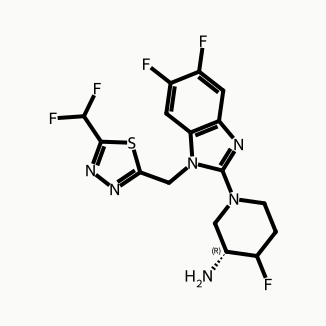 N[C@@H]1CN(c2nc3cc(F)c(F)cc3n2Cc2nnc(C(F)F)s2)CCC1F